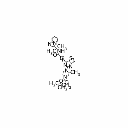 CC1CN(C(=O)OC(C)(C)C)CCN1c1nc(N2CC(C(=O)NC(C)(C)c3cnc4ccccn34)C2)c2sccc2n1